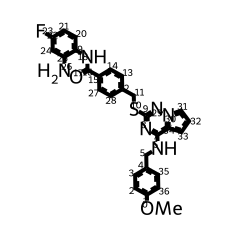 COc1ccc(CNc2nc(SCc3ccc(C(=O)Nc4ccc(F)cc4N)cc3)nn3cccc23)cc1